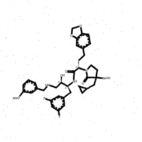 COc1cccc(CNC[C@@H](O)[C@H](Cc2cc(F)cc(F)c2)NC(=O)[C@H](CCc2ccc3c(c2)OCO3)N2CCC(CC3CC3)(NC(C)=O)C2=O)c1